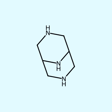 C1NCC2CNCC1N2